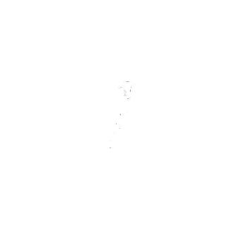 CCCCCCCCCCCCc1cc2ccccc2o1